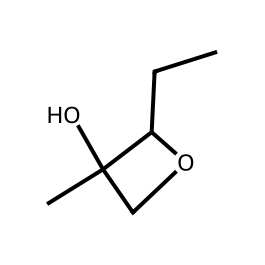 CCC1OCC1(C)O